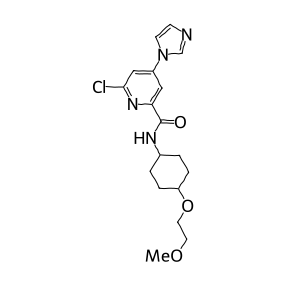 COCCOC1CCC(NC(=O)c2cc(-n3ccnc3)cc(Cl)n2)CC1